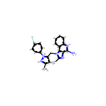 Cc1cc(Cn2c(C)nc3c(N)nc4ccccc4c32)n(-c2ccc(F)cc2)n1